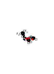 O=C(Cc1cc(C(F)(F)F)cc(C(F)(F)F)c1)N1CCO[C@](CCOS(=O)(=O)c2ccc(Cl)cc2)(c2ccc(Cl)c(Cl)c2)C1